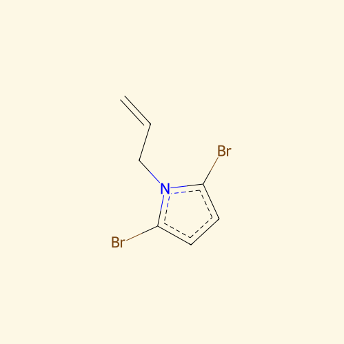 C=CCn1c(Br)ccc1Br